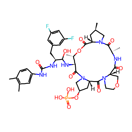 Cc1ccc(NC(=O)N[C@@H](Cc2cc(F)cc(F)c2)C(O)N[C@@H]2C(=O)N3C[C@H](OP(=O)(O)O)C[C@H]3C(=O)N3CCOC[C@H]3C(=O)N[C@@H](C)C(=O)N3C[C@H](C)C[C@H]3C(=O)O[C@H]2C)cc1C